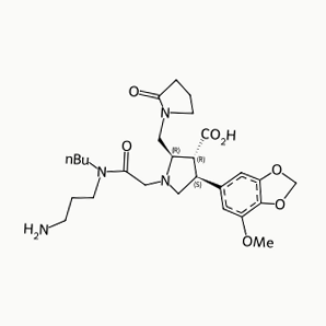 CCCCN(CCCN)C(=O)CN1C[C@H](c2cc(OC)c3c(c2)OCO3)[C@@H](C(=O)O)[C@@H]1CN1CCCC1=O